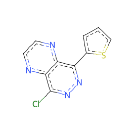 Clc1nnc(-c2cccs2)c2nccnc12